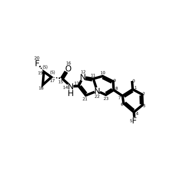 Cc1ccc(F)cc1-c1ccc2nc(NC(=O)[C@@H]3C[C@@H]3F)cn2c1